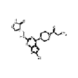 CCc1cc2c(N3CCN(C(=O)CC(F)(F)F)CC3)nc(NC[C@@H]3CONC3=O)nc2s1